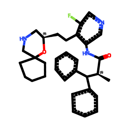 C[C@H](C(=O)Nc1cncc(F)c1CC[C@@H]1CNCC2(CCCCC2)O1)C(c1ccccc1)c1ccccc1